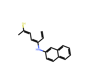 C=C/C(=C\C=C(/C)S)Nc1ccc2ccccc2c1